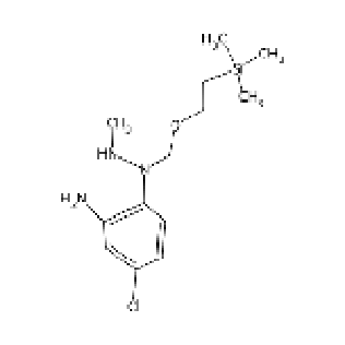 CNN(COCC[Si](C)(C)C)c1ccc(Cl)cc1N